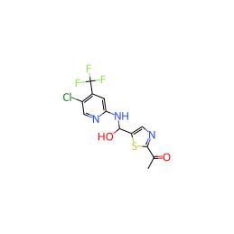 CC(=O)c1ncc(C(O)Nc2cc(C(F)(F)F)c(Cl)cn2)s1